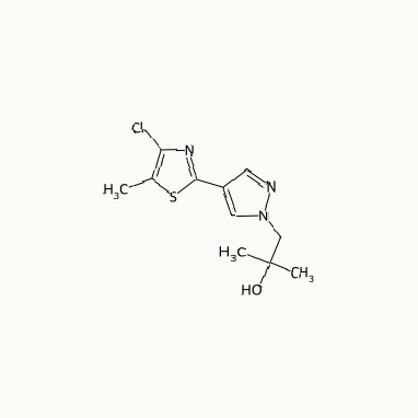 Cc1sc(-c2cnn(CC(C)(C)O)c2)nc1Cl